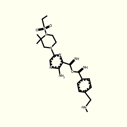 CCS(=O)(=O)N1CCN(c2cnc(N)c(C(=N)OC(=N)c3ccc(CNC)cc3)n2)CC1(C)C